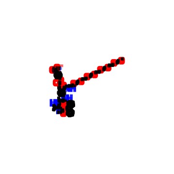 COCCOCCOCCOCCOCCOCCOCCOCCNC(=O)c1cc(NC(=O)[C@H](C)NC(=O)[C@H](C(C)C)N(C)C(=O)OC2c3ccccc3-c3ccccc32)ccc1COC(=O)Oc1ccc([N+](=O)[O-])cc1